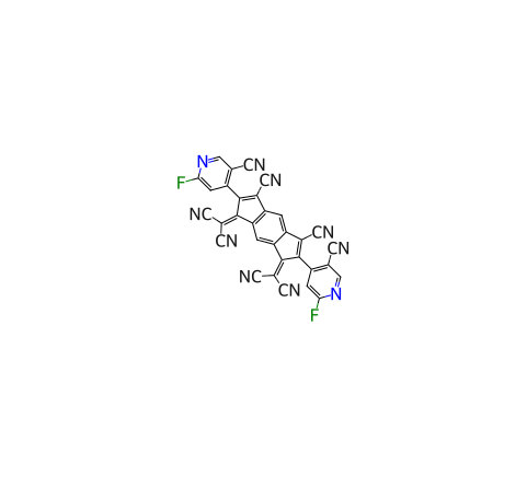 N#CC(C#N)=C1C(c2cc(F)ncc2C#N)=C(C#N)c2cc3c(cc21)C(=C(C#N)C#N)C(c1cc(F)ncc1C#N)=C3C#N